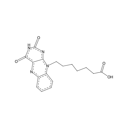 O=C(O)CCCCCCn1c2nc(=O)[nH]c(=O)c-2nc2ccccc21